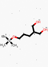 CC(C)(C)[Si](C)(C)OCCCC(CO)CO